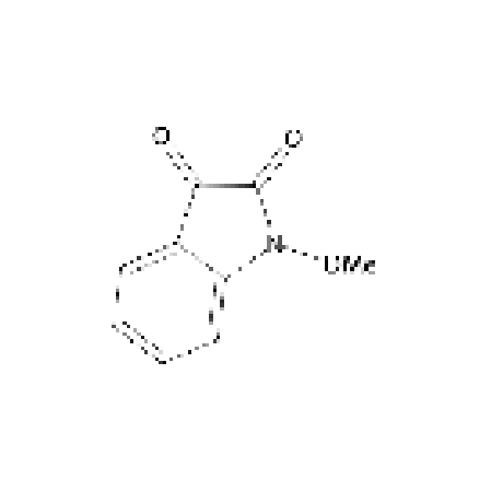 CON1C(=O)C(=O)c2ccccc21